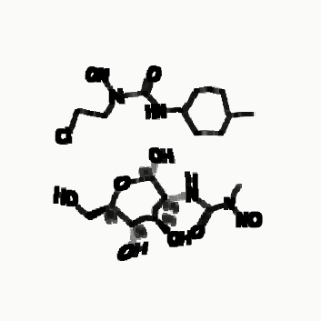 CC1CCC(NC(=O)N(CCCl)N=O)CC1.CN(N=O)C(=O)N[C@@H]1[C@@H](O)[C@H](O)[C@@H](CO)O[C@@H]1O